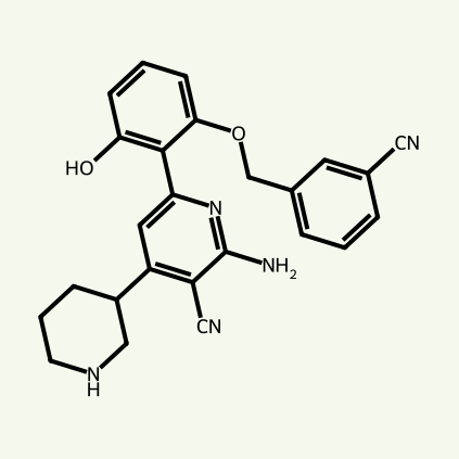 N#Cc1cccc(COc2cccc(O)c2-c2cc(C3CCCNC3)c(C#N)c(N)n2)c1